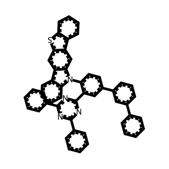 c1ccc(-c2cccc(-c3ccc(-n4c5ccccc5c5cc6sc7ccccc7c6cc54)c(-c4nc(-c5ccccc5)nc(-c5ccccc5)n4)c3)c2)cc1